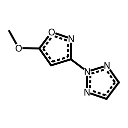 COc1cc(-n2nccn2)no1